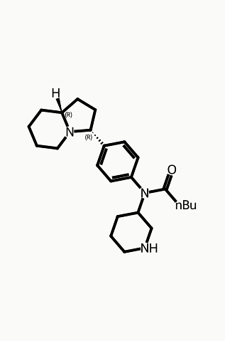 CCCCC(=O)N(c1ccc([C@H]2CC[C@H]3CCCCN32)cc1)C1CCCNC1